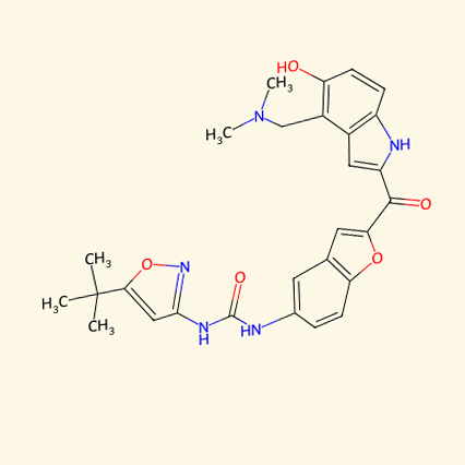 CN(C)Cc1c(O)ccc2[nH]c(C(=O)c3cc4cc(NC(=O)Nc5cc(C(C)(C)C)on5)ccc4o3)cc12